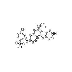 CCS(=O)(=O)c1ccc(Cl)cc1Cc1cnc2c(CN3CCNCC3)cc(OC(F)(F)F)cc2c1